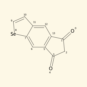 O=C1CC(=O)c2cc3[se]ccc3cc21